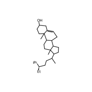 CC[C@H](CCC(C)C1CCC2C3CC=C4CC(O)CCC4(C)C3CCC12C)C(C)C